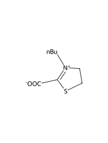 CCCC[N+]1=C(C(=O)[O-])SCC1